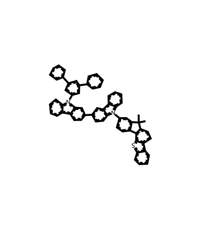 CC1(C)c2cc(-n3c4ccccc4c4cc(-c5ccc6c7ccccc7n(-c7cc(-c8ccccc8)cc(-c8ccccc8)c7)c6c5)ccc43)ccc2-c2c1ccc1c2sc2ccccc21